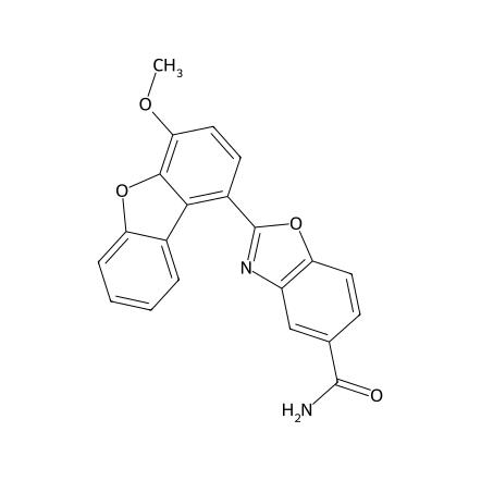 COc1ccc(-c2nc3cc(C(N)=O)ccc3o2)c2c1oc1ccccc12